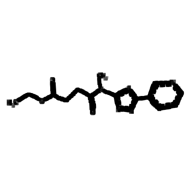 CCOC(=O)CCC(=O)N(C)c1nnc(-c2cccnc2)s1